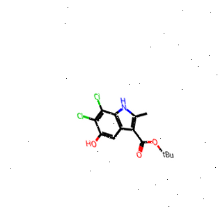 Cc1[nH]c2c(Cl)c(Cl)c(O)cc2c1C(=O)OC(C)(C)C